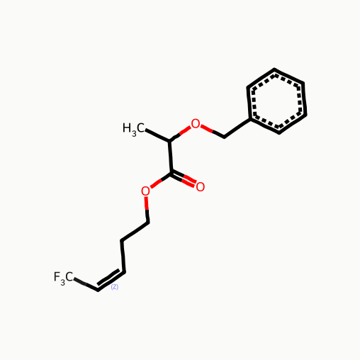 CC(OCc1ccccc1)C(=O)OCC/C=C\C(F)(F)F